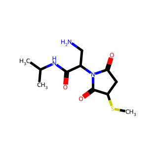 CSC1CC(=O)N(C(CN)C(=O)NC(C)C)C1=O